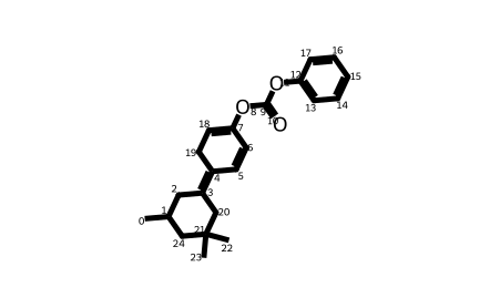 CC1CC(=C2C=CC(OC(=O)Oc3ccccc3)=CC2)CC(C)(C)C1